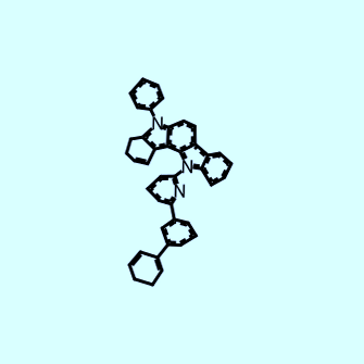 C1=CC(c2cccc(-c3cccc(-n4c5ccccc5c5ccc6c(c7c(n6-c6ccccc6)CCC=C7)c54)n3)c2)=CCC1